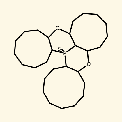 S=P12C3CCCCCCCCC3OC3CCCCCCC(OC4CCCCCCCC41)C32